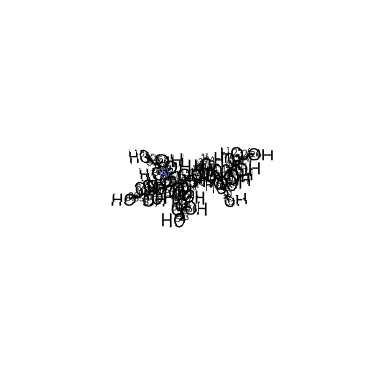 C=C1CC23CCC4[C@](C)(C(=O)OC(O)C(OC(O)C(O)C(O)C(O)CCO)C(O)C(O)CCO)CCC[C@@]4(C)[C@@H]2CC[C@]1(OC(O)C(OOC1COC(CO)C(O)C1O)C(OC(O)/C(O)=C(\O)C(O)CCO)C(O)CCOC(O)C(O)C(O)C(O)CCO)C3